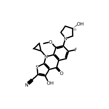 COc1c(N2CC[C@H](O)C2)c(F)cc2c(=O)c3c(O)c(C#N)sc3n(C3CC3)c12